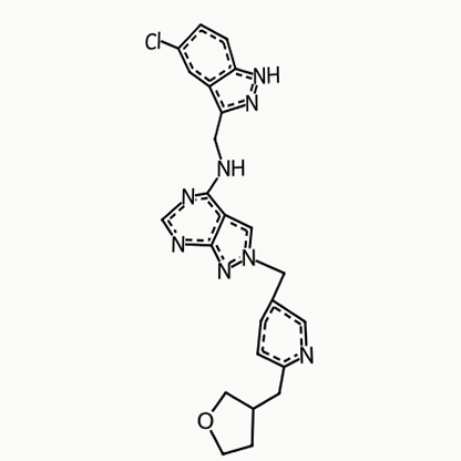 Clc1ccc2[nH]nc(CNc3ncnc4nn(Cc5ccc(CC6CCOC6)nc5)cc34)c2c1